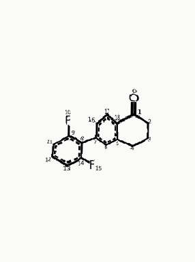 O=C1CCCc2cc(-c3c(F)cccc3F)ccc21